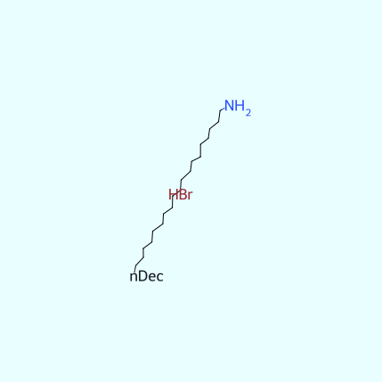 Br.CCCCCCCCCCCCCCCCCCCCCCCCCCCCCN